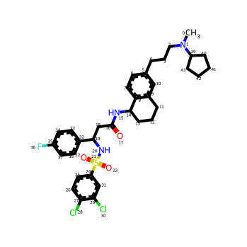 CN(CCCc1ccc2c(c1)CCCC2NC(=O)CC(NS(=O)(=O)c1ccc(Cl)c(Cl)c1)c1ccc(F)cc1)C1CCCC1